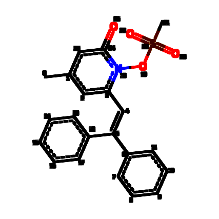 Cc1cc(C=C(c2ccccc2)c2ccccc2)n(OS(C)(=O)=O)c(=O)c1